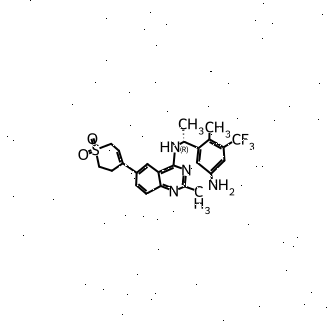 Cc1nc(N[C@H](C)c2cc(N)cc(C(F)(F)F)c2C)c2cc(C3=CCS(=O)(=O)CC3)ccc2n1